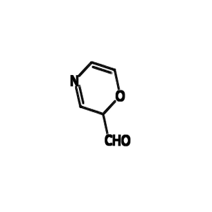 O=CC1C=NC=CO1